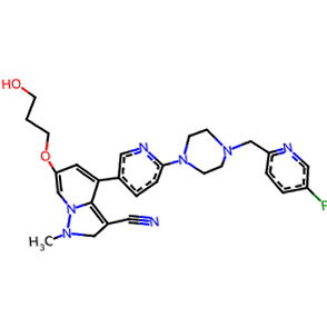 CN1CC(C#N)=C2C(c3ccc(N4CCN(Cc5ccc(F)cn5)CC4)nc3)=CC(OCCCO)=CN21